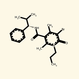 CCCn1c(C)c(C(=O)N[C@H](c2ccccc2)C(C)C)c(C)c(Br)c1=O